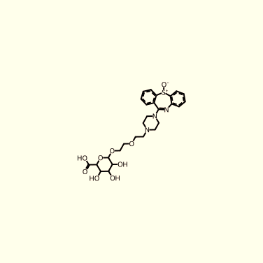 O=C(O)C1OC(OCCOCCN2CCN(C3=Nc4ccccc4[S+]([O-])c4ccccc43)CC2)C(O)C(O)C1O